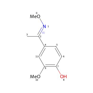 CO/N=C(\C)c1ccc(O)c(OC)c1